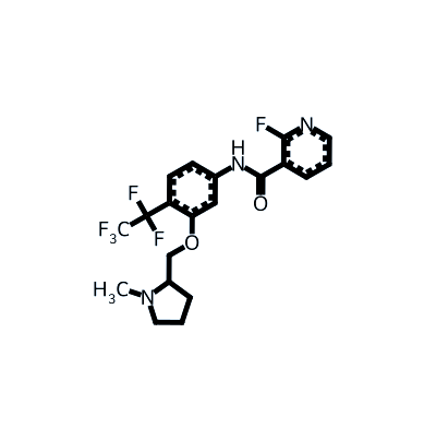 CN1CCCC1COc1cc(NC(=O)c2cccnc2F)ccc1C(F)(F)C(F)(F)F